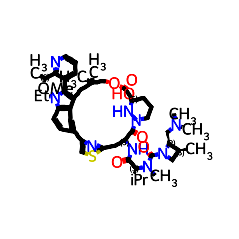 CCn1c(-c2cccnc2[C@H](C)OC)c2c3cc(ccc31)-c1csc(n1)C[C@H](NC(=O)[C@H](C(C)C)N(C)C(=O)N1C[C@H](C)[C@@H]1CN(C)C)C(=O)N1CCC[C@@](O)(N1)C(=O)OCC(C)(C)C2